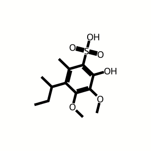 CCC(C)c1c(C)c(S(=O)(=O)O)c(O)c(OC)c1OC